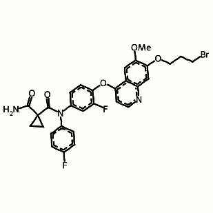 COc1cc2c(Oc3ccc(N(C(=O)C4(C(N)=O)CC4)c4ccc(F)cc4)cc3F)ccnc2cc1OCCCBr